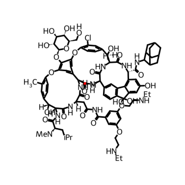 CCNCCOc1cc(OCCNCC)cc(C(=O)NC(=O)C[C@@H]2NC(=O)[C@H](NC(=O)[C@@H](CC(C)C)NC)[C@H](O)c3ccc(c(C)c3)Oc3cc4cc(c3O[C@@H]3O[C@H](CO)[C@@H](O)[C@H](O)[C@H]3O)Oc3ccc(cc3Cl)[C@@H](O)[C@@H]3NC(=O)[C@H](NC(=O)[C@@H]4NC2=O)c2ccc4c(c2)-c2c(cc(O)cc2C4(O)O)[C@@H](C(=O)NC2C4CC5CC(C4)CC2C5)NC3=O)c1